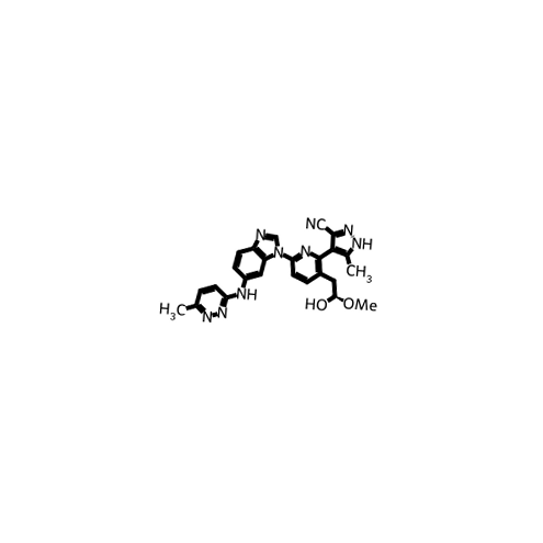 CO[C@@H](O)Cc1ccc(-n2cnc3ccc(Nc4ccc(C)nn4)cc32)nc1-c1c(C#N)n[nH]c1C